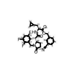 N#Cc1cccc(COC(=O)[C@H](CC2CC2)NC(=O)C[C@@H]2CCC(=O)N2Cc2cc(F)cc(F)c2F)c1